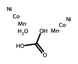 O.O=C(O)O.[Co].[Co].[Mn].[Mn].[Ni].[Ni]